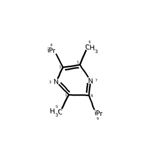 Cc1nc(C(C)C)c(C)nc1C(C)C